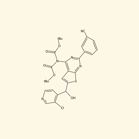 CC(C)(C)OC(=O)N(C(=O)OC(C)(C)C)c1nc(-c2cccc(C#N)c2)nc2sc(C(O)c3ccncc3Cl)cc12